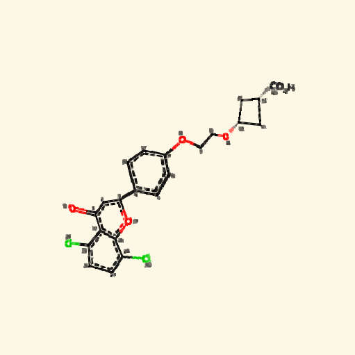 O=c1cc(-c2ccc(OCCO[C@H]3C[C@@H](C(=O)O)C3)cc2)oc2c(Cl)ccc(Cl)c12